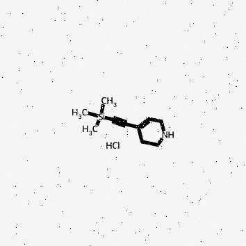 C[Si](C)(C)C#CC1=CCNCC1.Cl